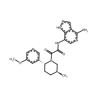 COc1cncc([C@H]2CC[C@H](C)CN2C(=O)C(=O)Nc2cnc(N)c3cn[nH]c23)c1